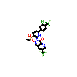 CCS(=O)(=O)c1ccc(-c2ccc(C(F)(F)F)c(F)c2)nc1-n1ncc2cc(C(F)(F)F)cnc2c1=O